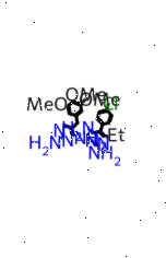 CCc1nc(N)nc(N)c1-c1ccc(Cl)cc1.COc1cc(Cc2cnc(N)nc2N)cc(OC)c1OC